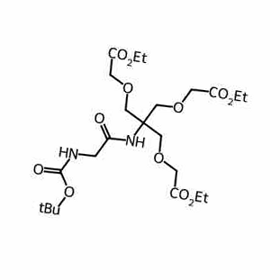 CCOC(=O)COCC(COCC(=O)OCC)(COCC(=O)OCC)NC(=O)CNC(=O)OC(C)(C)C